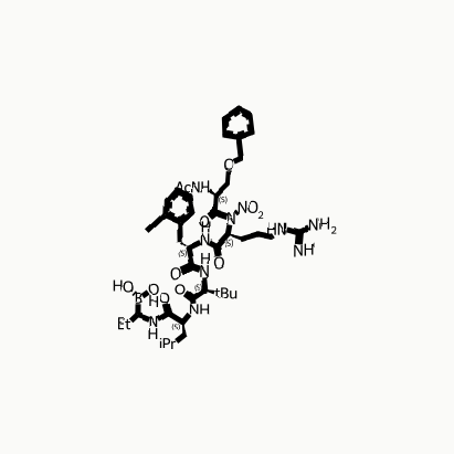 CCC(NC(=O)[C@H](CC(C)C)NC(=O)[C@@H](NC(=O)[C@H](Cc1ccccc1C)NC(=O)[C@H](CCCNC(=N)N)N(C(=O)[C@H](COCc1ccccc1)NC(C)=O)[N+](=O)[O-])C(C)(C)C)B(O)O